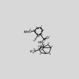 COc1cccc(C(=O)NC23CC4CC(CC(N)(C4)C2)C3)c1F